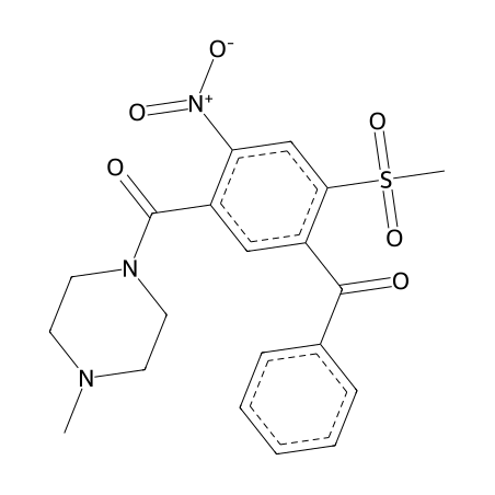 CN1CCN(C(=O)c2cc(C(=O)c3ccccc3)c(S(C)(=O)=O)cc2[N+](=O)[O-])CC1